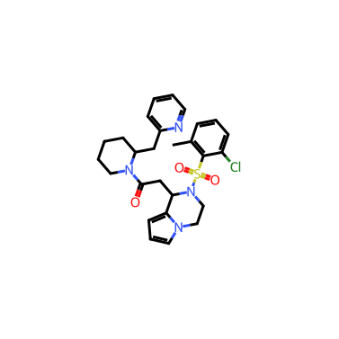 Cc1cccc(Cl)c1S(=O)(=O)N1CCn2cccc2C1CC(=O)N1CCCCC1Cc1ccccn1